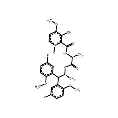 COc1ccc(F)cc1C(c1cc(F)ccc1OC)[C@H](C)OC(=O)[C@H](C)NC(=O)c1c(O)c(OC)cc[n+]1[O-]